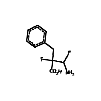 NC(F)C(F)(Cc1ccccc1)C(=O)O